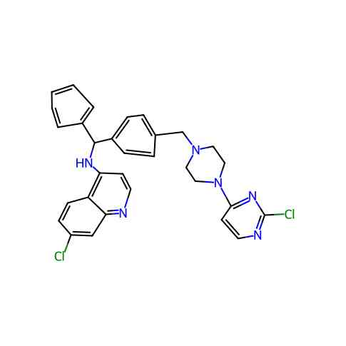 Clc1ccc2c(NC(c3ccccc3)c3ccc(CN4CCN(c5ccnc(Cl)n5)CC4)cc3)ccnc2c1